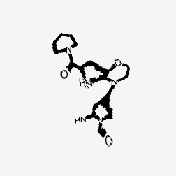 N=c1cc(N2CCOc3cc(C(=O)N4CCCCC4)[nH]c32)ccn1C=O